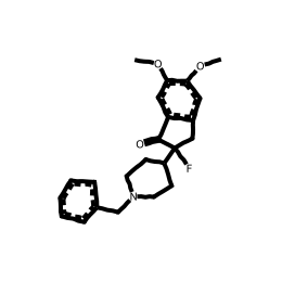 COc1cc2c(cc1OC)C(=O)C(F)(C1CCN(Cc3ccccc3)CC1)C2